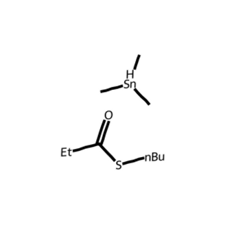 CCCCSC(=O)CC.[CH3][SnH]([CH3])[CH3]